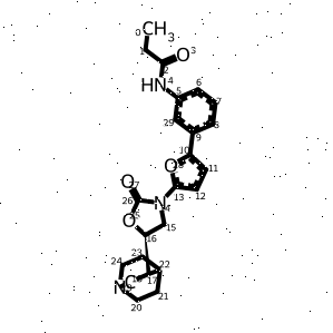 CCC(=O)Nc1cccc(-c2ccc(N3C[C@@H](C4CN5CCC4CC5)OC3=O)o2)c1